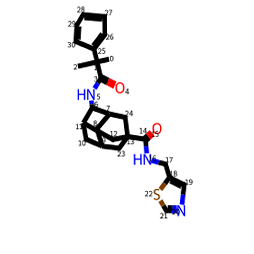 CC(C)(C(=O)NC1C2CC3CC1CC(C(=O)NCc1cncs1)(C3)C2)c1ccccc1